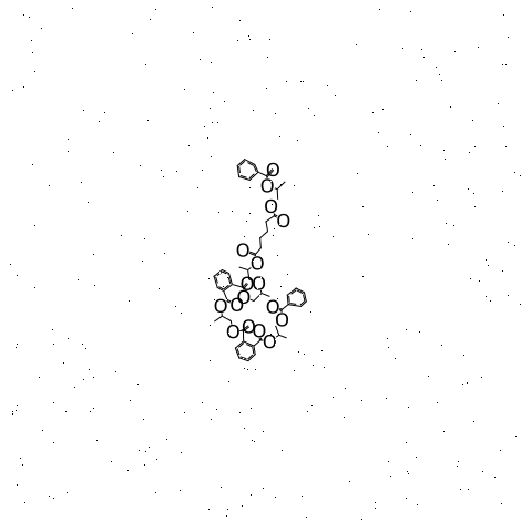 CC(COC(=O)c1ccccc1C(=O)OC(C)COC(=O)c1ccccc1C(=O)OC(C)COC(=O)c1ccccc1)OCC(C)OC(=O)CCCCC(=O)OCC(C)OC(=O)c1ccccc1